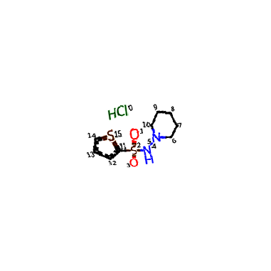 Cl.O=S(=O)(NN1CCCCC1)c1cccs1